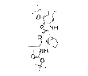 CCC[C@@H](NC(=O)[C@@H]1C2CCC(C2)N1C(=O)[C@H](NC(=O)OC(C)(C)C)C(C)(C)C)C(=O)C(=O)OC(C)(C)C